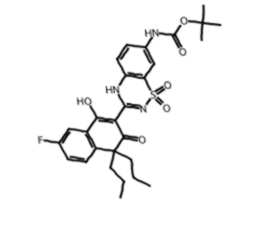 CCCC1(CCC)C(=O)C(C2=NS(=O)(=O)c3cc(NC(=O)OC(C)(C)C)ccc3N2)=C(O)c2cc(F)ccc21